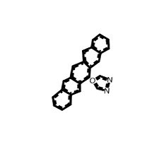 c1ccc2cc3cc4cc5ccccc5cc4cc3cc2c1.c1nnco1